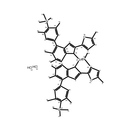 Cc1ccc(C2=Cc3c(cc(C)c(C)c3-c3cc(C)c([Si](C)(C)C)c(C)c3)[CH]2[Zr]([CH]2C(c3ccc(C)o3)=Cc3c2cc(C)c(C)c3-c2cc(C)c([Si](C)(C)C)c(C)c2)=[Si](C)C)o1.Cl.Cl